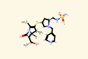 C[C@@H](O)[C@H]1C(=O)N2C(C(=O)O)=C(S[C@H]3C[C@@H](CNS(N)(=O)=O)N(Cc4ccncc4)C3)[C@H](C)[C@H]12